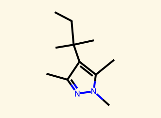 CCC(C)(C)c1c(C)nn(C)c1C